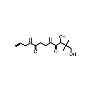 C=CCNC(=O)CCNC(=O)C(O)C(C)(C)CO